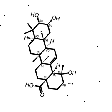 C[C@@H]1CC[C@]2(C(=O)O)CC[C@]3(C)C(=CC[C@@H]4[C@@]5(C)C[C@H](O)[C@H](O)C(C)(C)[C@@H]5CC[C@]43C)[C@@H]2[C@]1(C)O